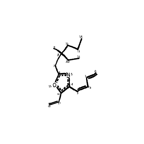 C=C/C=C\c1nc(CC(C)(CC)CCC)oc1C=C